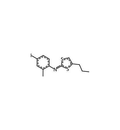 CCCc1cs/c(=N\c2ccc(I)cc2C)s1